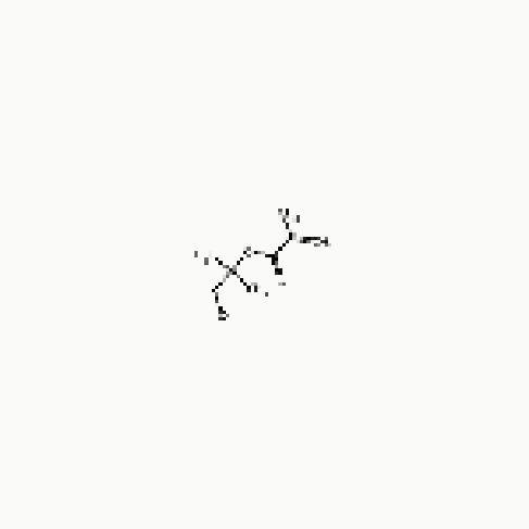 C=C(C)C(=O)OC(C)(C)C[O]